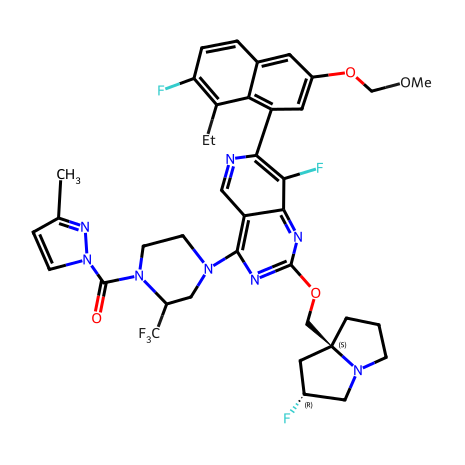 CCc1c(F)ccc2cc(OCOC)cc(-c3ncc4c(N5CCN(C(=O)n6ccc(C)n6)C(C(F)(F)F)C5)nc(OC[C@@]56CCCN5C[C@H](F)C6)nc4c3F)c12